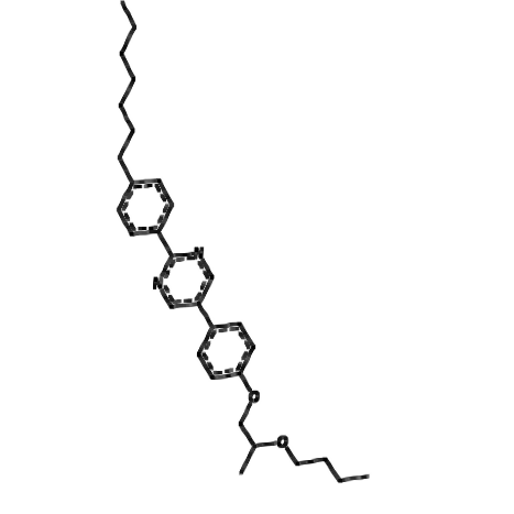 CCCCCCCc1ccc(-c2ncc(-c3ccc(OCC(C)OCCCC)cc3)cn2)cc1